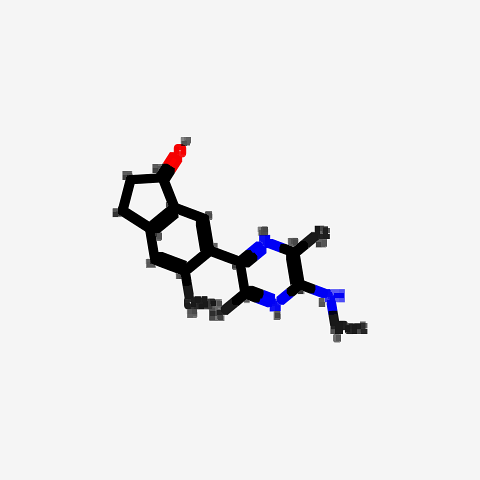 CCCCCNc1nc(CC)c(-c2cc3c(cc2OC)CCC3=O)nc1CC